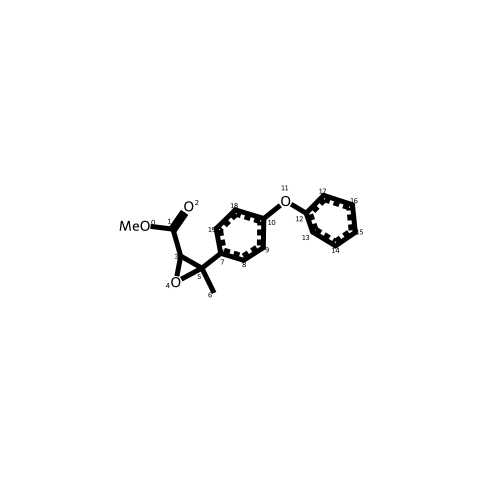 COC(=O)C1OC1(C)c1ccc(Oc2ccccc2)cc1